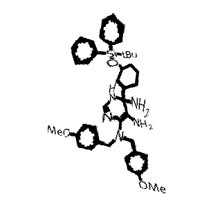 COc1ccc(CN(Cc2ccc(OC)cc2)C2=C(N)C(N)(C3CCCC(O[Si](c4ccccc4)(c4ccccc4)C(C)(C)C)C3)NC=N2)cc1